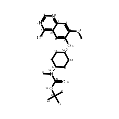 COc1cc2ncnc(Cl)c2cc1O[C@H]1CC[C@@H](N(C)C(=O)OC(C)(C)C)CC1